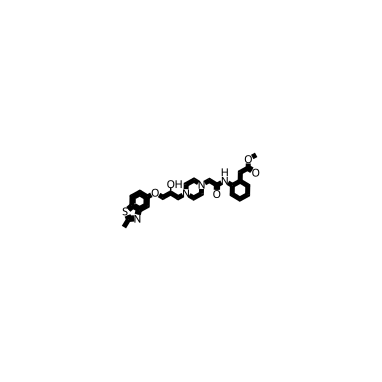 COC(=O)CC1CCCCC1NC(=O)CN1CCN(C[C@@H](O)COc2ccc3sc(C)nc3c2)CC1